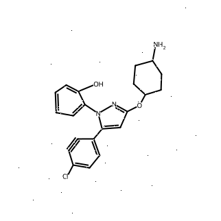 NC1CCC(Oc2cc(-c3c#cc(Cl)cc3)n(-c3ccccc3O)n2)CC1